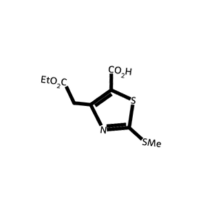 CCOC(=O)Cc1nc(SC)sc1C(=O)O